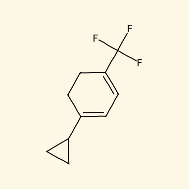 FC(F)(F)C1=CC=C(C2CC2)CC1